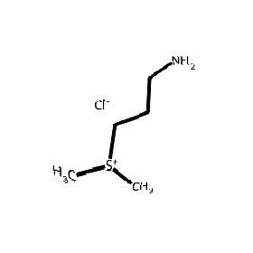 C[S+](C)CCCN.[Cl-]